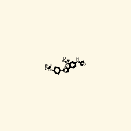 CCNS(=O)(=O)c1cc(NC2COC2)ccc1-c1cnc([C@H]2CC[C@H](NC(=O)OC(C)C)CC2)s1